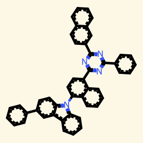 c1ccc(-c2ccc3c(c2)c2ccccc2n3-c2ccc(-c3nc(-c4ccccc4)nc(-c4ccc5ccccc5c4)n3)c3ccccc23)cc1